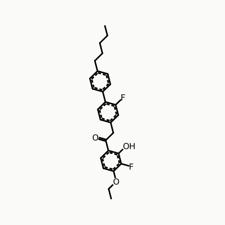 CCCCCc1ccc(-c2ccc(CC(=O)c3ccc(OCC)c(F)c3O)cc2F)cc1